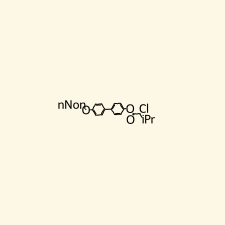 CCCCCCCCCOc1ccc(-c2ccc(OC(=O)C(Cl)C(C)C)cc2)cc1